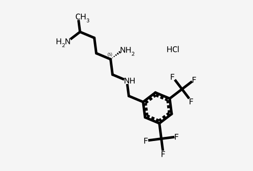 CC(N)CC[C@H](N)CNCc1cc(C(F)(F)F)cc(C(F)(F)F)c1.Cl